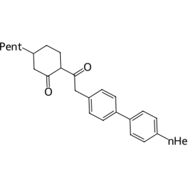 CCCCCCc1ccc(-c2ccc(CC(=O)C3CCC(CCCCC)CC3=O)cc2)cc1